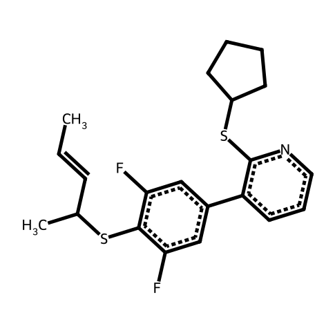 C/C=C/C(C)Sc1c(F)cc(-c2cccnc2SC2CCCC2)cc1F